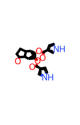 O=C(OC1C2CC(C1OC(=O)c1cc[nH]c1)C1C(=O)CCC21)c1cc[nH]c1